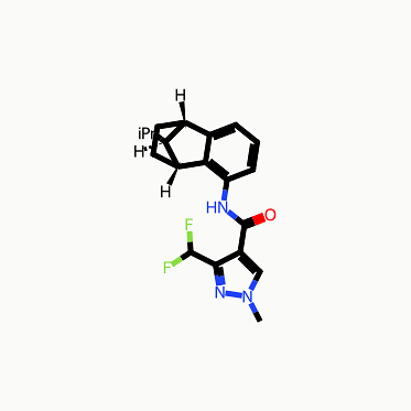 CC(C)[C@H]1[C@@H]2CC[C@H]1c1c(NC(=O)c3cn(C)nc3C(F)F)cccc12